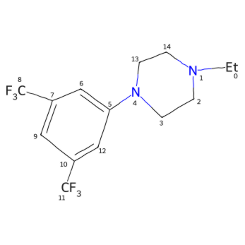 CCN1CCN(c2cc(C(F)(F)F)cc(C(F)(F)F)c2)CC1